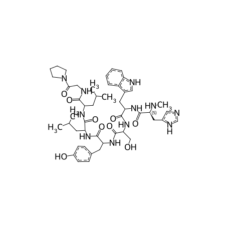 CN[C@@H](Cc1cnc[nH]1)C(=O)NC(Cc1c[nH]c2ccccc12)C(=O)NC(CO)C(=O)NC(Cc1ccc(O)cc1)C(=O)NC(CC(C)C)C(=O)NC(CC(C)C)C(=O)NCC(=O)N1CCCC1